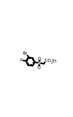 CCOC(=O)CS(=O)(=O)c1ccc(F)c(Br)c1